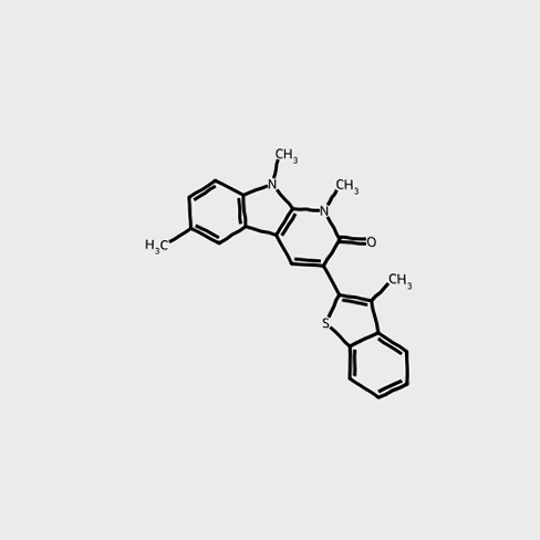 Cc1ccc2c(c1)c1cc(-c3sc4ccccc4c3C)c(=O)n(C)c1n2C